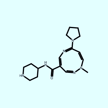 Cn1ccc(N2CCCC2)ncc(C(=O)NC2CCNCC2)cn1